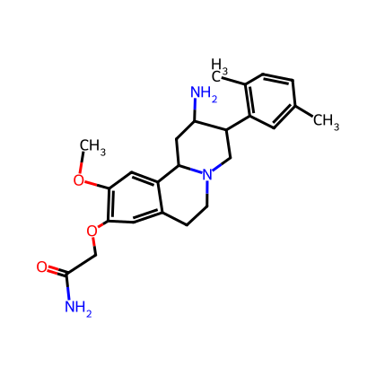 COc1cc2c(cc1OCC(N)=O)CCN1CC(c3cc(C)ccc3C)C(N)CC21